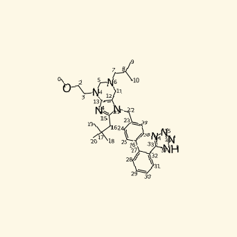 COCCN1CN(CC(C)C)Cc2c1nc(CC(C)(C)C)n2Cc1ccc(-c2ccccc2-c2nnn[nH]2)cc1